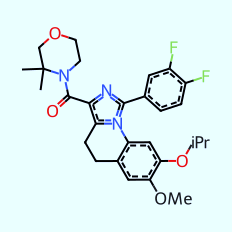 COc1cc2c(cc1OC(C)C)-n1c(-c3ccc(F)c(F)c3)nc(C(=O)N3CCOCC3(C)C)c1CC2